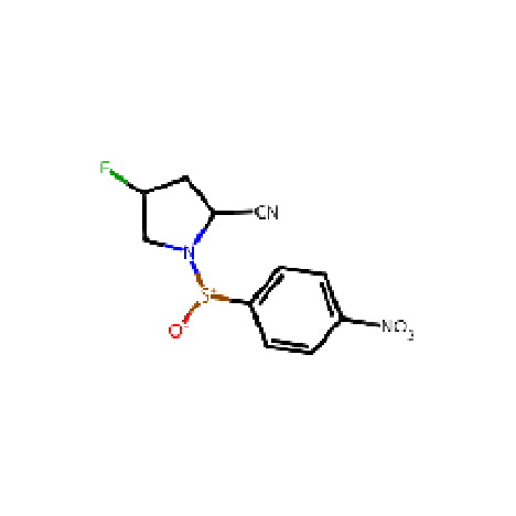 N#CC1CC(F)CN1[S+]([O-])c1ccc([N+](=O)[O-])cc1